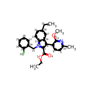 CCOC(=O)c1c(-c2ccc(C)nc2OC)c2cc(CC)ccc2n1Cc1ccccc1F